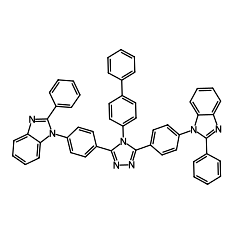 c1ccc(-c2ccc(-n3c(-c4ccc(-n5c(-c6ccccc6)nc6ccccc65)cc4)nnc3-c3ccc(-n4c(-c5ccccc5)nc5ccccc54)cc3)cc2)cc1